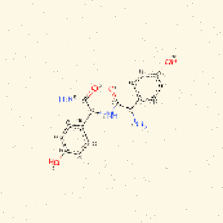 NC(=O)C(NC(=O)C(N)c1ccc(O)cc1)c1ccc(O)cc1